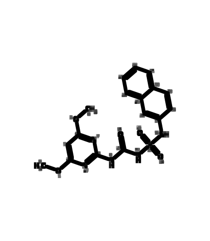 COc1cc(OC)nc(NC(=O)NS(=O)(=O)Nc2ccc3ccccc3c2)n1